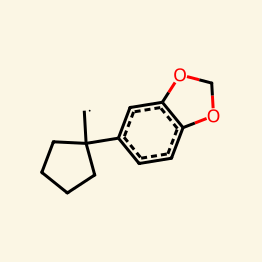 [CH2]C1(c2ccc3c(c2)OCO3)CCCC1